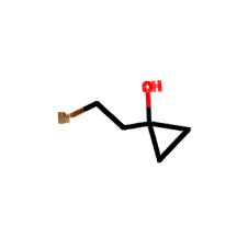 OC1(CCBr)CC1